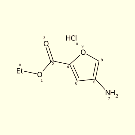 CCOC(=O)c1cc(N)co1.Cl